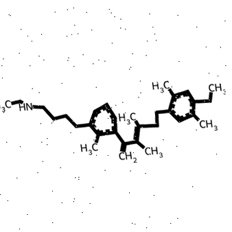 C=C(/C(C)=C(\C)CCc1cc(C)c(CC)cc1C)c1cccc(CCCCNCC)c1C